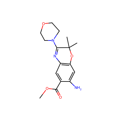 COC(=O)c1cc2c(cc1N)OC(C)(C)C(N1CCOCC1)=N2